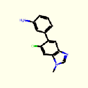 Cn1cnc2cc(-c3cccc(N)c3)c(Cl)cc21